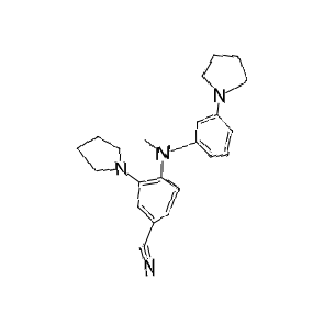 CN(c1cccc(N2CCCC2)c1)c1ccc(C#N)cc1N1CCCC1